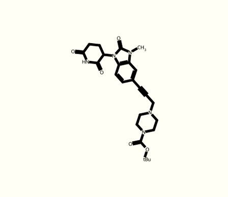 Cn1c(=O)n(C2CCC(=O)NC2=O)c2ccc(C#CCN3CCN(C(=O)OC(C)(C)C)CC3)cc21